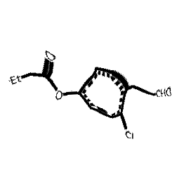 C[CH]C(=O)Oc1ccc(C=O)c(Cl)c1